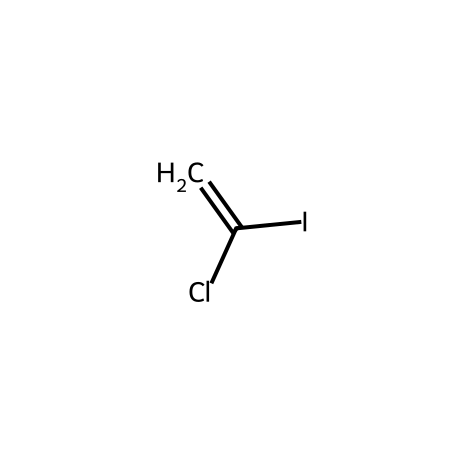 C=C(Cl)I